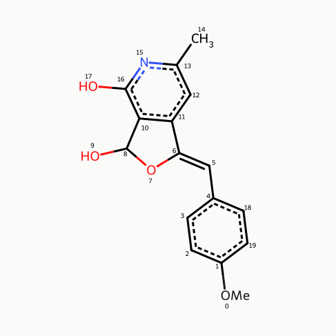 COc1ccc(C=C2OC(O)c3c2cc(C)nc3O)cc1